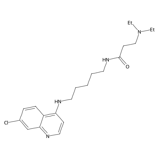 CCN(CC)CCC(=O)NCCCCCNc1ccnc2cc(Cl)ccc12